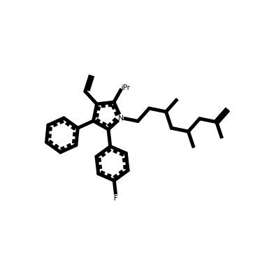 C=Cc1c(-c2ccccc2)c(-c2ccc(F)cc2)n(CCC(C)CC(C)CC(=C)C)c1C(C)C